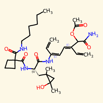 C=C/C(=C\C=C(/C=C)C(OC(C)=O)C(N)=O)NC(=O)[C@H](CC1(C)CC1(C)O)NC(=O)C1(C(=O)NCCCCCC)CCC1